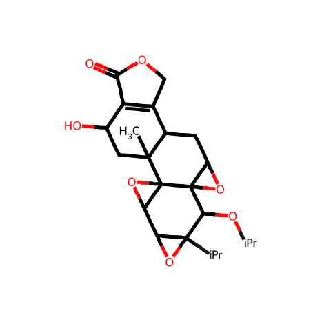 CC(C)OC1C2(C(C)C)OC2C2OC23C2(C)CC(O)C4=C(COC4=O)C2CC2OC213